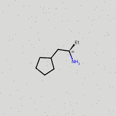 CC[C@@H](N)CC1CCCC1